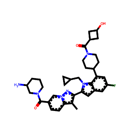 Cc1c(-c2cc3cc(F)cc(C4CCN(C(=O)C5CC(O)C5)CC4)c3n2CC2CC2)nn2cc(C(=O)N3CCCC(N)C3)ccc12